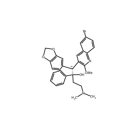 COc1nc2ccc(Br)cc2cc1[C@@H](c1ccc2c(c1)OCO2)C(O)(CCN(C)C)c1ccccc1